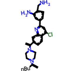 C=C(CCCC)N1CCN(C(=C)c2ccc3c(Cl)cc(-c4ccc(CN)c(N)c4)nc3c2)CC1